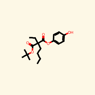 CCCCC(CC)(C(=O)Oc1ccc(O)cc1)C(=O)OC(C)(C)C